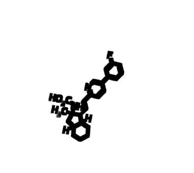 C[C@]1(NC(=O)O)C[C@H]2CCCC[C@H]2[C@@H]1/C=C/c1ccc(-c2cccc(F)c2)cn1